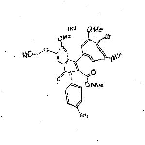 COC(=O)c1c(-c2cc(OC)c(Br)c(OC)c2)c2cc(OC)c(OCC#N)cc2c(=O)n1-c1ccc(N)cc1.Cl